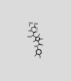 Cc1cc(NC(=O)c2c(C)c(C(O)C(=O)N[C@H](CO)C(=O)O)n(C)c2C)ccc1F